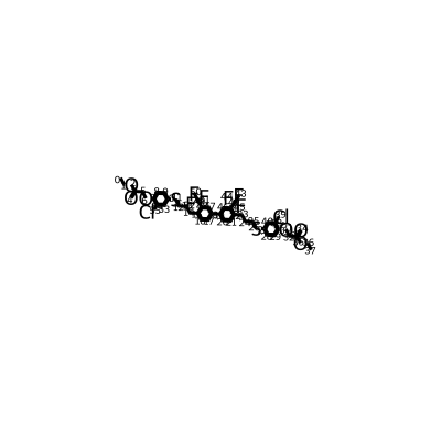 CCOC(=O)COc1ccc(SCCCc2ccc(-c3ccc(CCCSc4ccc(OCC(=O)OCC)c(Cl)c4)c(C(F)(F)F)c3)cc2C(F)(F)F)cc1Cl